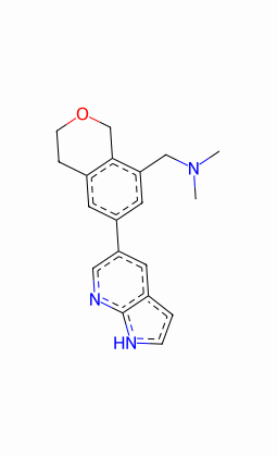 CN(C)Cc1cc(-c2cnc3[nH]ccc3c2)cc2c1COCC2